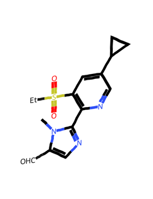 CCS(=O)(=O)c1cc(C2CC2)cnc1-c1ncc(C=O)n1C